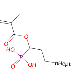 C=C(C)C(=O)OC(CCCCCCCCC)P(=O)(O)O